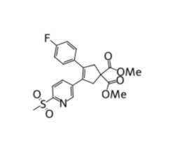 COC(=O)C1(C(=O)OC)CC(c2ccc(F)cc2)=C(c2ccc(S(C)(=O)=O)nc2)C1